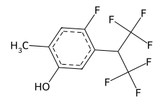 Cc1cc(F)c(C(C(F)(F)F)C(F)(F)F)cc1O